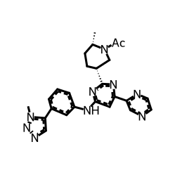 CC(=O)N1C[C@H](c2nc(Nc3cccc(-c4cnnn4C)c3)cc(-c3cnccn3)n2)CC[C@@H]1C